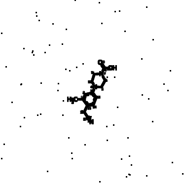 Cc1cc(N2CCN(C(=O)O)CC2)ccc1CC#N